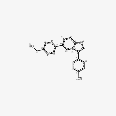 N#Cc1ccc(-c2cnc3cnc(-c4ccc(CO)cc4)cn23)cc1